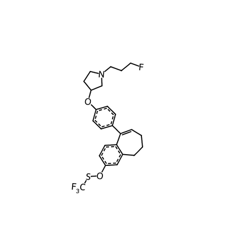 FCCCN1CCC(Oc2ccc(C3=CCCCc4cc(OSC(F)(F)F)ccc43)cc2)C1